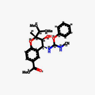 COC(=O)c1ccc2c(c1)[C@@H](NC(NC#N)Oc1ccccc1)[C@H](O)[C@@](C)(C(OC)OC)O2